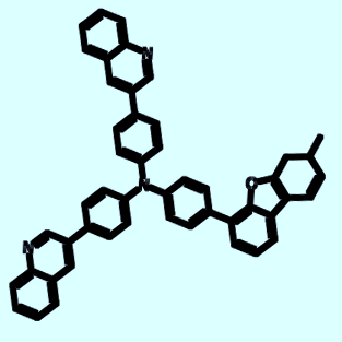 CC1C=Cc2c(oc3c(-c4ccc(N(c5ccc(-c6cnc7ccccc7c6)cc5)c5ccc(-c6cnc7ccccc7c6)cc5)cc4)cccc23)C1